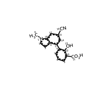 Cn1ccc2c(-c3cccc(C(=O)O)c3O)cc(C#N)cc21